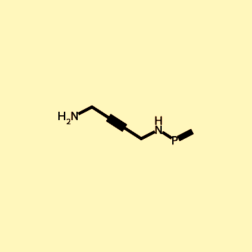 C=PNCC#CCN